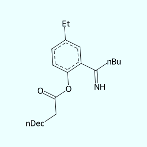 CCCCCCCCCCCC(=O)Oc1ccc(CC)cc1C(=N)CCCC